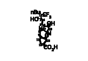 CCCC[C@@H]([C@@H](O)/C=C/[C@@H]1[C@H]2CCc3ccc(C(=O)O)cc3O[C@H]2C[C@H]1O)C(F)(F)F